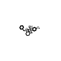 COc1ccc(S(=O)(=O)C2(C(=O)NO)CCCCC2NCc2ccccc2)cc1